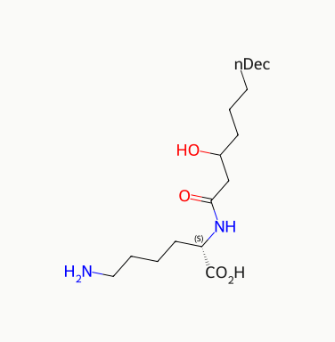 CCCCCCCCCCCCCC(O)CC(=O)N[C@@H](CCCCN)C(=O)O